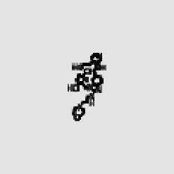 Cc1ccc(O)c(Cn2c(NCCCN3CCOCC3)nc3ccc(CNc4cnccc4CCO)cc32)n1